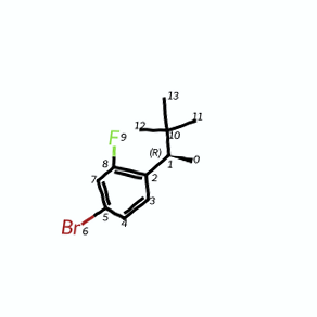 C[C@@H](c1ccc(Br)cc1F)C(C)(C)C